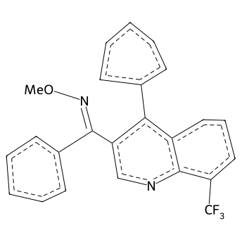 CON=C(c1ccccc1)c1cnc2c(C(F)(F)F)cccc2c1-c1ccccc1